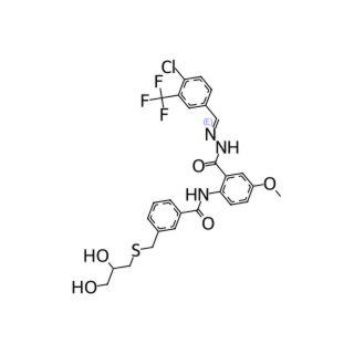 COc1ccc(NC(=O)c2cccc(CSCC(O)CO)c2)c(C(=O)N/N=C/c2ccc(Cl)c(C(F)(F)F)c2)c1